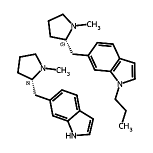 CCCn1ccc2ccc(C[C@@H]3CCCN3C)cc21.CN1CCC[C@H]1Cc1ccc2cc[nH]c2c1